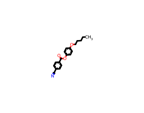 CCCCCOc1ccc(OC(=O)c2ccc(C#N)cc2)cc1